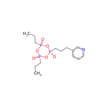 CCCP1(=O)OP(=O)(CCC)OP(=O)(CCCc2cccnc2)O1